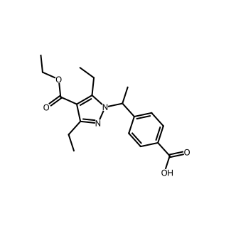 CCOC(=O)c1c(CC)nn(C(C)c2ccc(C(=O)O)cc2)c1CC